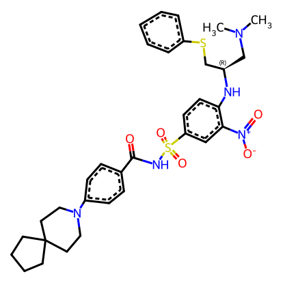 CN(C)C[C@H](CSc1ccccc1)Nc1ccc(S(=O)(=O)NC(=O)c2ccc(N3CCC4(CCCC4)CC3)cc2)cc1[N+](=O)[O-]